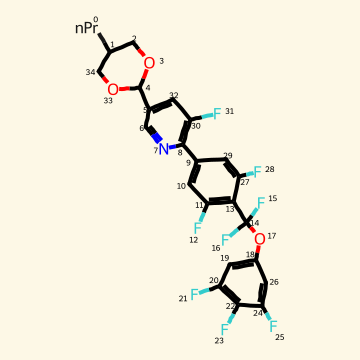 CCCC1COC(c2cnc(-c3cc(F)c(C(F)(F)Oc4cc(F)c(F)c(F)c4)c(F)c3)c(F)c2)OC1